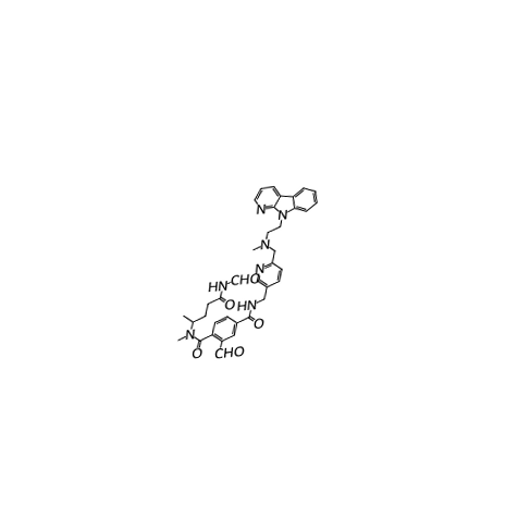 CC(CCC(=O)NC=O)N(C)C(=O)c1ccc(C(=O)NCc2ccc(CN(C)CCn3c4ccccc4c4cccnc43)nc2)cc1C=O